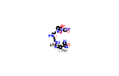 C=C(CCNc1cccc2c1C(=O)N(C1CCC(=O)NC1=O)C2=O)NC(=O)CCCNC(=O)CN(C)Cc1c(OC)cc(-c2cn(C)c(=O)c3cnccc23)cc1OC